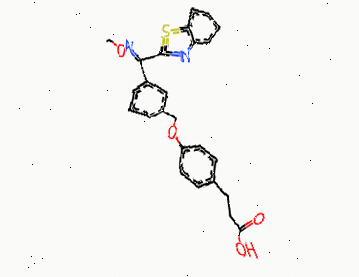 CO/N=C(\c1cccc(COc2ccc(CCC(=O)O)cc2)c1)c1nc2ccccc2s1